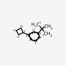 CC(C)(C)c1c[c]cc(C2CCC2)c1